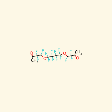 CC(=O)C(F)(F)C(F)OC(F)(F)C(F)(F)C(F)(F)C(F)(F)OC(F)C(F)(F)C(C)=O